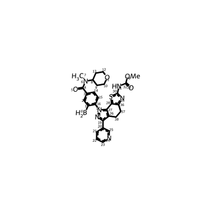 Bc1cc(C(=O)N(C)C2CCOCC2)ccc1-n1nc(-c2cccnc2)c2c1-c1sc(NC(=O)OC)nc1CC2